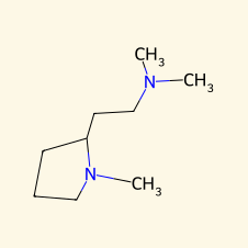 CN(C)CCC1CCCN1C